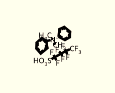 C[N+](C)(c1ccccc1)c1ccccc1.O=S(=O)(O)C(F)(F)C(F)(F)C(F)(F)C(F)(F)F